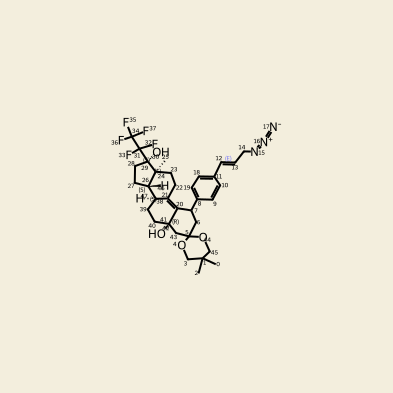 CC1(C)COC2(CC(c3ccc(/C=C/CN=[N+]=[N-])cc3)C3=C4CC[C@@]5(C)[C@@H](CC[C@@]5(O)C(F)(F)C(F)(F)F)[C@@H]4CC[C@@]3(O)C2)OC1